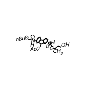 CCCCOCC(=O)Nc1ccc2c(c1)C(COC(C)=O)c1cc(NC(=O)COC(C)CCO)ccc1-2